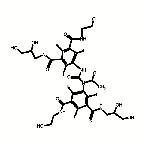 CC(O)N(C(=O)Nc1c(I)c(C(=O)NCCO)c(I)c(C(=O)NCC(O)CO)c1I)c1c(I)c(C(=O)NCCO)c(I)c(C(=O)NCC(O)CO)c1I